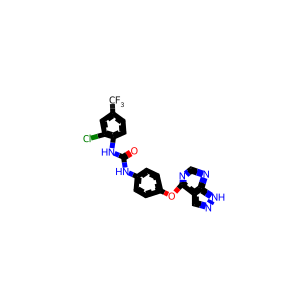 O=C(Nc1ccc(Oc2ncnc3[nH]ncc23)cc1)Nc1ccc(C(F)(F)F)cc1Cl